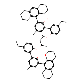 CCc1ccc(OC(C)CC(C)Oc2ccc(CC)cc2-c2cc(C)cc(-c3c4c(cc5c3CCCC5)CCCC4)c2O)c(-c2cc(C)cc(-c3c4c(cc5c3CCCC5)CCCC4)c2O)c1